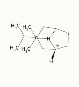 CC(C)N1CC2CC[C@H](C1)N2C(C)C